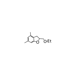 CCOCC1Cc2c(C)cc(C)cc2O1